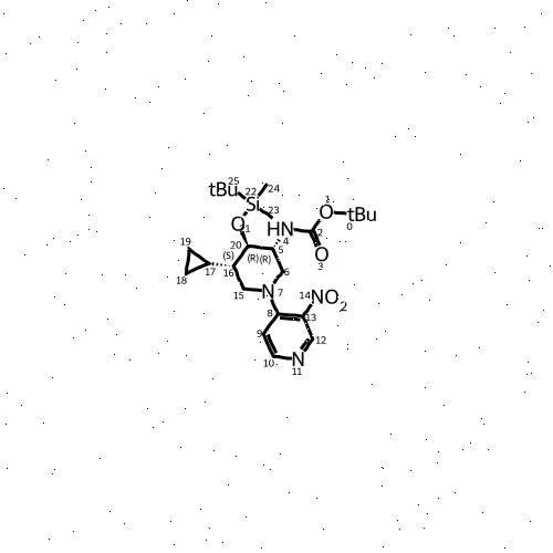 CC(C)(C)OC(=O)N[C@@H]1CN(c2ccncc2[N+](=O)[O-])C[C@H](C2CC2)[C@H]1O[Si](C)(C)C(C)(C)C